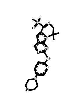 CC1(C)CN=C(S(C)(=O)=O)c2cc3cnc(Nc4ccc(N5CCNCC5)cn4)nc3n21